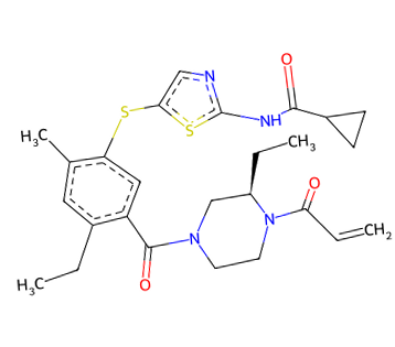 C=CC(=O)N1CCN(C(=O)c2cc(Sc3cnc(NC(=O)C4CC4)s3)c(C)cc2CC)C[C@H]1CC